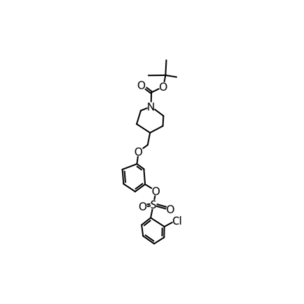 CC(C)(C)OC(=O)N1CCC(COc2cccc(OS(=O)(=O)c3ccccc3Cl)c2)CC1